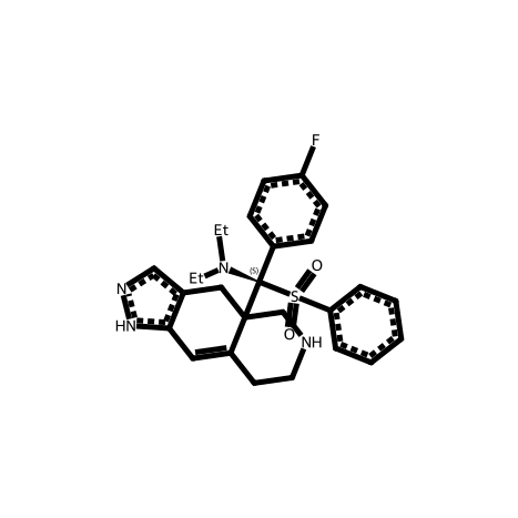 CCN(CC)[C@](c1ccc(F)cc1)(C12CNCCC1=Cc1[nH]ncc1C2)S(=O)(=O)c1ccccc1